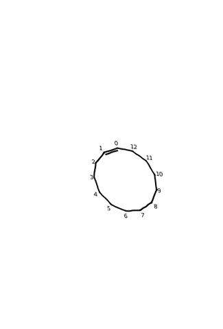 C1=CCCCCCCCCCCC1